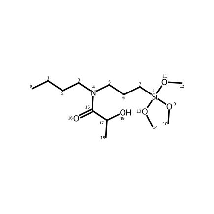 CCCCN(CCC[Si](OC)(OC)OC)C(=O)C(C)O